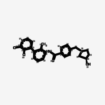 Cc1c(NC(=O)c2ccc(CN3CC[C@@H](O)C3)cn2)cccc1-c1ccnc(Cl)c1Cl